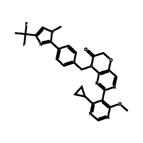 COc1ncnc(C2CC2)c1-c1ncc2c(n1)N(Cc1ccc(-c3nc(C(C)(F)F)cn3C)cc1)C(=O)CO2